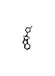 CN1CCC(c2nc3c(s2)=CC2=CC=CCC=32)C1